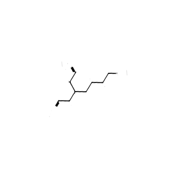 C=CC[C](CC=C)CCCCC